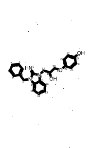 N=c1n(Cc2ccccc2)c2ccccc2n1CC(O)COc1ccc(O)cc1